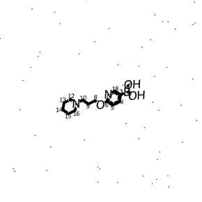 OB(O)c1ccc(OCCCN2CCCCC2)nc1